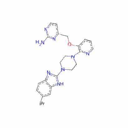 CC(C)c1ccc2nc(N3CCN(c4ncccc4OCc4ccnc(N)n4)CC3)[nH]c2c1